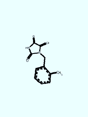 Cc1ccccc1CN1C(=O)NC(=O)C1=O